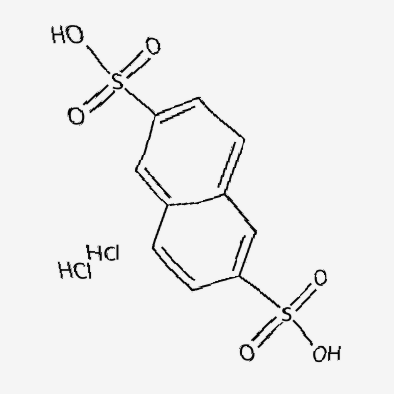 Cl.Cl.O=S(=O)(O)c1ccc2cc(S(=O)(=O)O)ccc2c1